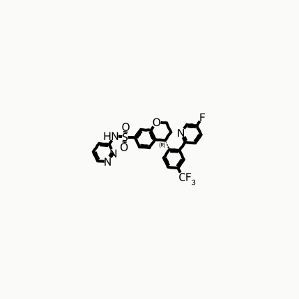 O=S(=O)(Nc1cccnn1)c1ccc2c(c1)OCC[C@@H]2c1ccc(C(F)(F)F)cc1-c1ccc(F)cn1